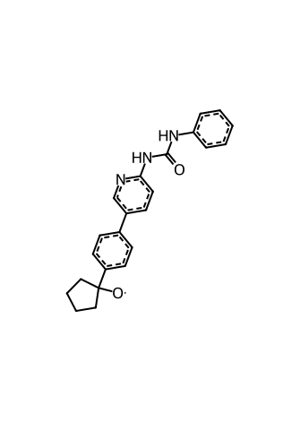 [O]C1(c2ccc(-c3ccc(NC(=O)Nc4ccccc4)nc3)cc2)CCCC1